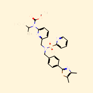 Cc1nc(-c2ccc(CN(Cc3cccc(N(C(=O)OC(C)(C)C)C(C(=O)O)C(C)(C)C)n3)S(=O)(=O)c3ccccn3)cc2)sc1C